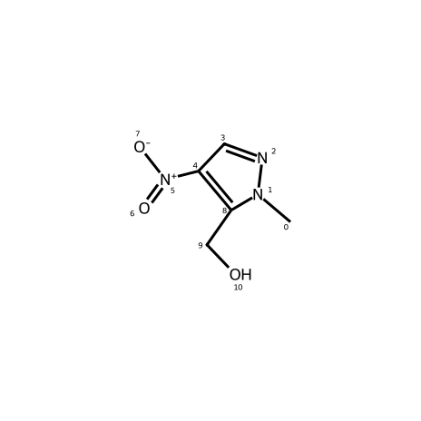 Cn1ncc([N+](=O)[O-])c1CO